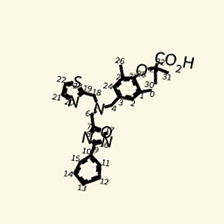 Cc1cc(CN(Cc2nc(-c3ccccc3)no2)Cc2nccs2)cc(C)c1OC(C)(C)C(=O)O